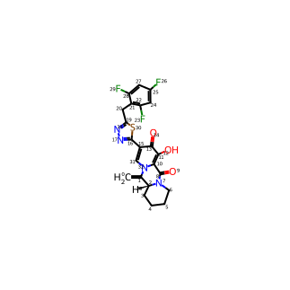 C=C1[C@H]2CCCCN2C(=O)c2c(O)c(=O)c(-c3nnc(Cc4c(F)cc(F)cc4F)s3)cn21